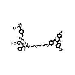 Cc1ncsc1-c1ccc(CNC(=O)[C@@H]2C[C@@H](O)CN2C(=O)[C@@H](NC(=O)COCCOCCOCCOc2ccc(C(=O)c3c(-c4ccc(O)cc4)sc4cc(O)ccc34)cc2)C2CCCC2)cc1